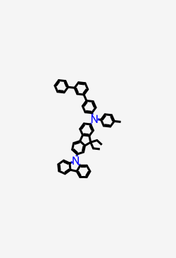 CCC1(CC)c2cc(N(c3ccc(C)cc3)c3ccc(-c4cccc(-c5ccccc5)c4)cc3)ccc2-c2ccc(-n3c4ccccc4c4ccccc43)cc21